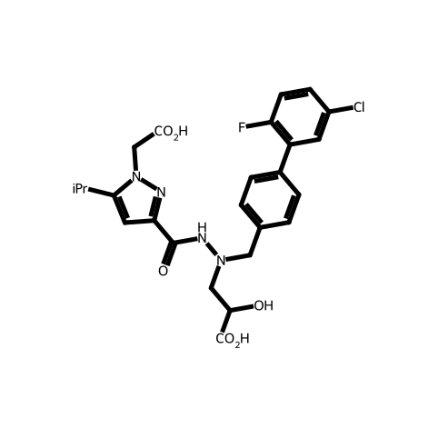 CC(C)c1cc(C(=O)NN(Cc2ccc(-c3cc(Cl)ccc3F)cc2)CC(O)C(=O)O)nn1CC(=O)O